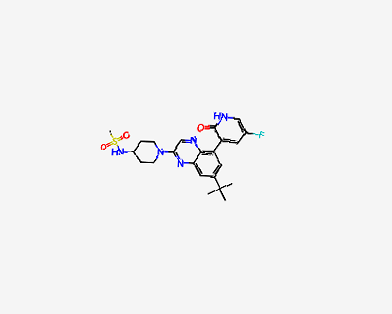 CC(C)(C)c1cc(-c2cc(F)c[nH]c2=O)c2ncc(N3CCC(NS(C)(=O)=O)CC3)nc2c1